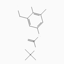 Cc1cc(NC(=O)OC(C)(C)C)cc(CBr)c1F